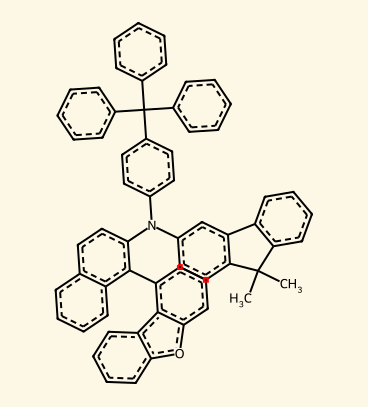 CC1(C)c2ccccc2-c2cc(N(c3ccc(C(c4ccccc4)(c4ccccc4)c4ccccc4)cc3)c3ccc4ccccc4c3-c3cccc4oc5ccccc5c34)ccc21